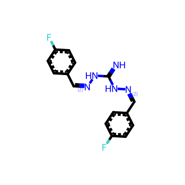 N=C(N/N=C\c1ccc(F)cc1)N/N=C\c1ccc(F)cc1